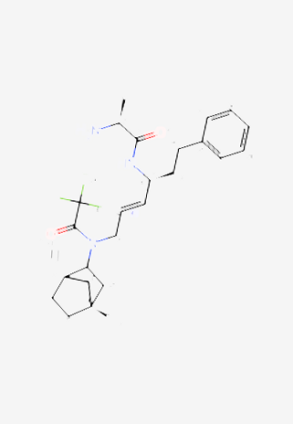 C[C@H](N)C(=O)N[C@H](/C=C/CN(C(=O)C(F)(F)F)C1C[C@@H]2CC[C@@H]1C2)CCc1ccccc1